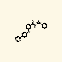 O=C(N[C@@H]1C[C@H]1c1ccccc1)c1cccc(Nc2ccc(-c3ccncn3)cc2)c1